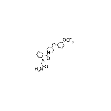 NC(=O)CSc1ccccc1C(=O)N1CCC(Oc2cccc(OC(F)(F)F)c2)CC1